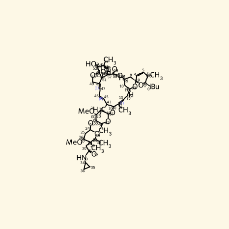 CCC(C)[C@H]1O[C@]2(C=C[C@@H]1C)C[C@@H]1C[C@@H](C/C=C(\C)[C@@H](OC3C[C@H](OC)[C@@H](OC4C[C@H](OC)[C@@](C)(CC(=O)NC5CC5)[C@H](C)O4)[C@H](C)O3)C(C)/C=C/C=C3\CO[C@@H]4[C@H](O)C(C)=C[C@@H](C(=O)O1)[C@]34O)O2